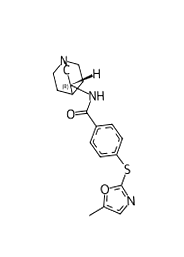 Cc1cnc(Sc2ccc(C(=O)N[C@H]3CN4CCC3CC4)cc2)o1